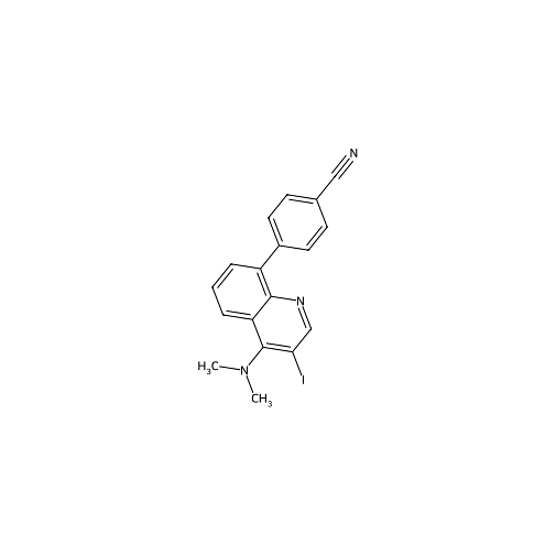 CN(C)c1c(I)cnc2c(-c3ccc(C#N)cc3)cccc12